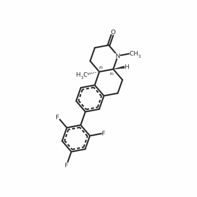 CN1C(=O)CC[C@]2(C)c3ccc(-c4c(F)cc(F)cc4F)cc3CC[C@@H]12